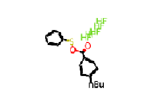 CCCCc1ccc(C(=O)OSc2ccccc2)cc1.F.F.F.F.F